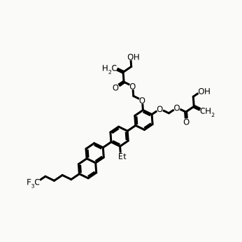 C=C(CO)C(=O)OCOc1ccc(-c2ccc(-c3ccc4cc(CCCCC(F)(F)F)ccc4c3)c(CC)c2)cc1OCOC(=O)C(=C)CO